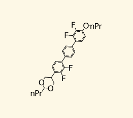 CCCOc1ccc(-c2ccc(-c3ccc(C4COC(CCC)OC4)c(F)c3F)cc2)c(F)c1F